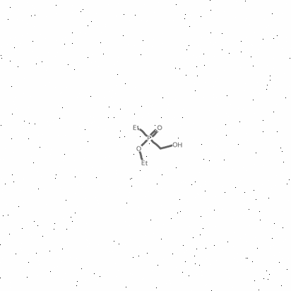 CCOP(=O)(CC)CO